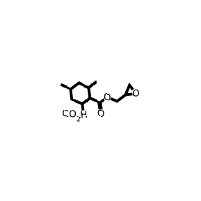 CC1CC(C)C(C(=O)OCC2CO2)C(C(=O)O)C1